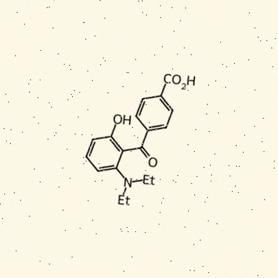 CCN(CC)c1cccc(O)c1C(=O)c1ccc(C(=O)O)cc1